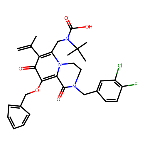 C=C(C)c1c(CN(C(=O)O)C(C)(C)C)n2c(c(OCc3ccccc3)c1=O)C(=O)N(Cc1ccc(F)c(Cl)c1)CC2